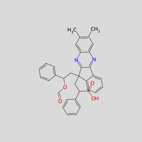 Cc1cc2nc3c(nc2cc1C)C(CC(OC=O)c1ccccc1)(CC(C(=O)O)c1ccccc1)c1ccccc1-3